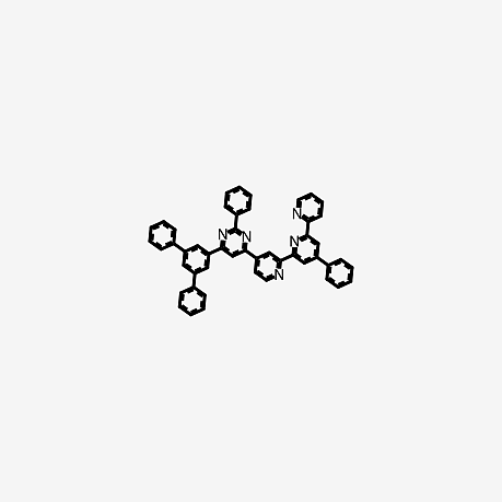 c1ccc(-c2cc(-c3ccccc3)cc(-c3cc(-c4ccnc(-c5cc(-c6ccccc6)cc(-c6ccccn6)n5)c4)nc(-c4ccccc4)n3)c2)cc1